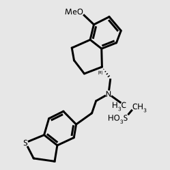 COc1cccc2c1CCC[C@H]2CN(C)CCc1ccc2c(c1)CCS2.CS(=O)(=O)O